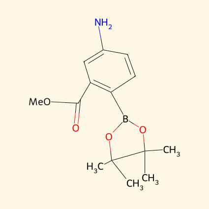 COC(=O)c1cc(N)ccc1B1OC(C)(C)C(C)(C)O1